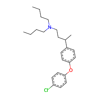 CCCCN(CCCC)CCC(C)c1ccc(Oc2ccc(Cl)cc2)cc1